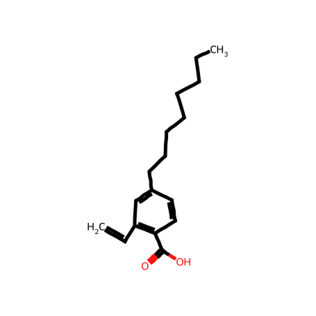 C=Cc1cc(CCCCCCCC)ccc1C(=O)O